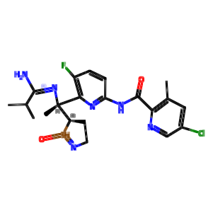 Cc1cc(Cl)cnc1C(=O)Nc1ccc(F)c([C@@](C)(/N=C(/N)C(C)C)[C@H]2CCN=[SH]2=O)n1